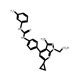 CCOC(=O)Cn1nc(N)c2c(-c3ccc(NC(=O)Nc4cccc(C(F)(F)F)c4)cc3)cc(C3CC3)nc21